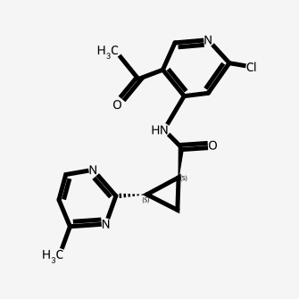 CC(=O)c1cnc(Cl)cc1NC(=O)[C@H]1C[C@@H]1c1nccc(C)n1